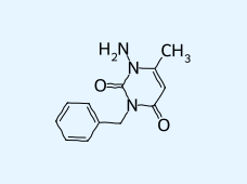 Cc1cc(=O)n(Cc2ccccc2)c(=O)n1N